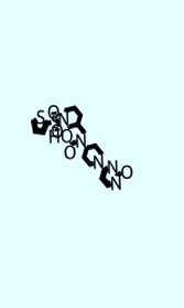 COc1nccc(N2CCC(N(CC3CCCN(S(=O)(=O)c4cccs4)C3)C(=O)O)CC2)n1